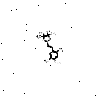 Cc1cc(/C=C/B2OC(C)(C)C(C)(C)O2)c(C(F)(F)F)cc1C=O